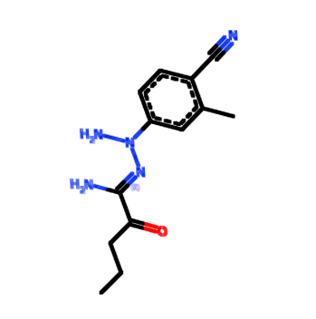 CCCC(=O)/C(N)=N/N(N)c1ccc(C#N)c(C)c1